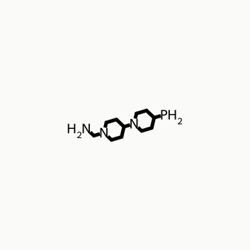 NCN1CCC(N2CCC(P)CC2)CC1